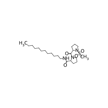 CCCCCCCCCCCCNC(=O)C1CCCN1C(=O)C1CCCN1S(C)(=O)=O